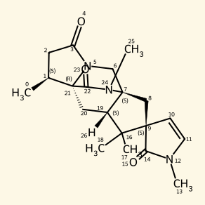 C[C@H]1CC(=O)N2C[C@]34C[C@]5(C=CN(C)C5=O)C(C)(C)[C@@H]3C[C@]12C(=O)N4C